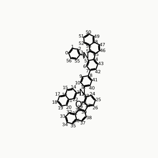 c1ccc(-n2c3cc(-c4ccc(N(c5ccc6ccccc6c5)c5cccc6c5oc5c7ccccc7ccc65)cc4)ccc3c3ccc4ccccc4c32)cc1